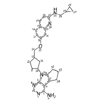 Nc1ncnc2c1c1c(n2C2CCC(COc3ccc4ccc(NCC5CC5)nc4c3)C2)CCC1